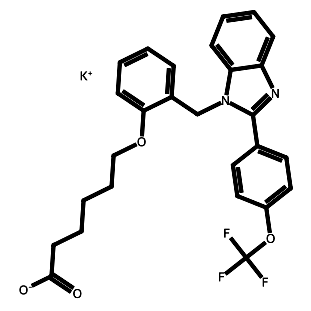 O=C([O-])CCCCCOc1ccccc1Cn1c(-c2ccc(OC(F)(F)F)cc2)nc2ccccc21.[K+]